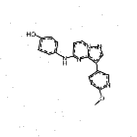 COc1ccc(-c2cnn3ccc(Nc4ccc(O)cc4)nc23)cn1